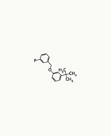 CC(C)(C)c1cccc(OCc2cccc(F)c2)c1